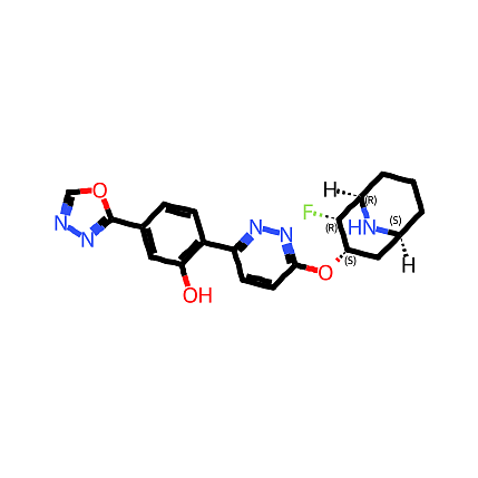 Oc1cc(-c2nnco2)ccc1-c1ccc(O[C@H]2C[C@@H]3CCC[C@@H](N3)[C@H]2F)nn1